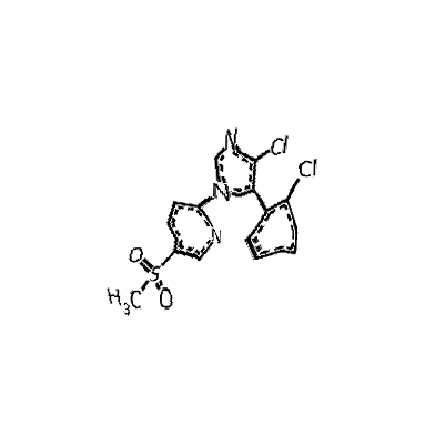 CS(=O)(=O)c1ccc(-n2cnc(Cl)c2-c2ccccc2Cl)nc1